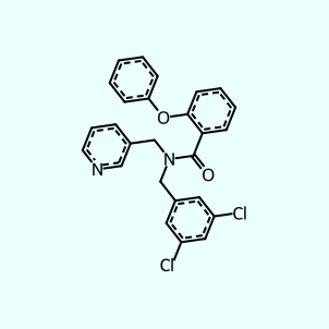 O=C(c1ccccc1Oc1ccccc1)N(Cc1cccnc1)Cc1cc(Cl)cc(Cl)c1